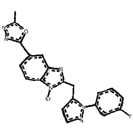 CCn1c(Cc2ccnn2-c2cccc(F)c2)nc2cc(-c3nnc(C)o3)ccc21